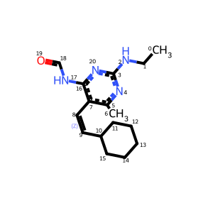 CCNc1nc(C)c(/C=C\C2CCCCC2)c(NC=O)n1